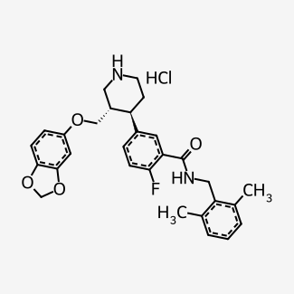 Cc1cccc(C)c1CNC(=O)c1cc([C@@H]2CCNC[C@H]2COc2ccc3c(c2)OCO3)ccc1F.Cl